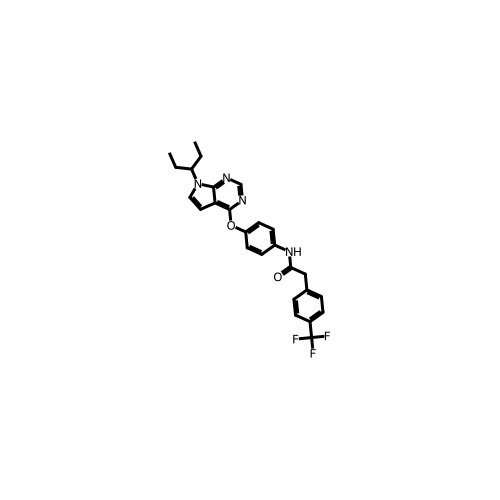 CCC(CC)n1ccc2c(Oc3ccc(NC(=O)Cc4ccc(C(F)(F)F)cc4)cc3)ncnc21